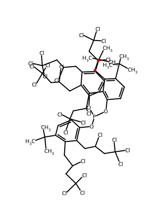 CC(C)(C)c1ccc(OP(Oc2ccc(C(C)(C)C)c(CC(Cl)CC(Cl)(Cl)Cl)c2CC(Cl)CC(Cl)(Cl)Cl)Oc2ccc(C(C)(C)C)c(CC(Cl)CC(Cl)(Cl)Cl)c2CC(Cl)CC(Cl)(Cl)Cl)c(CC(Cl)CC(Cl)(Cl)Cl)c1CC(Cl)CC(Cl)(Cl)Cl